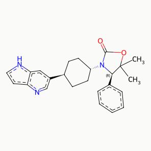 CC1(C)OC(=O)N([C@H]2CC[C@H](c3cnc4cc[nH]c4c3)CC2)[C@@H]1c1ccccc1